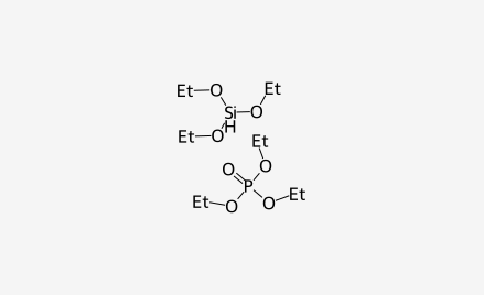 CCOP(=O)(OCC)OCC.CCO[SiH](OCC)OCC